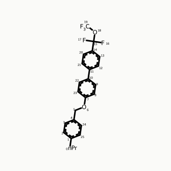 CCCc1ccc(COc2ccc(-c3ccc(C(F)(F)OC(F)(F)F)cc3)cc2)cc1